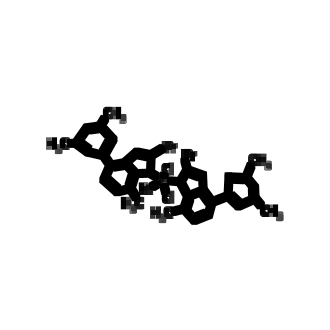 C[CH2][Zr]([Cl])([Cl])([CH]1C(C(C)C)=Cc2c(-c3cc(C)cc(C)c3)ccc(C)c21)[CH]1C(C(C)C)=Cc2c(-c3cc(C)cc(C)c3)ccc(C)c21